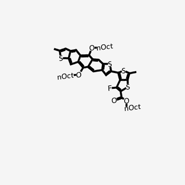 CCCCCCCCOC(=O)c1sc2c(C)sc(-c3cc4cc5c(OCCCCCCCC)c6cc7sc(C)cc7cc6c(OCCCCCCCC)c5cc4s3)c2c1F